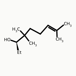 CC[C@@H](O)C(C)(C)CCC=C(C)C